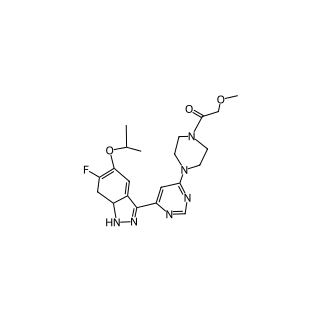 COCC(=O)N1CCN(c2cc(C3=NNC4CC(F)=C(OC(C)C)C=C34)ncn2)CC1